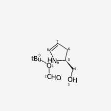 CC(C)(C)OC=O.OC[C@@H]1CC=CN1